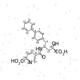 O=C(NC(Cc1ccc(-c2ccccc2)cc1)C[C@@H](O)C(=O)O)c1ccc(C(=O)O)nc1